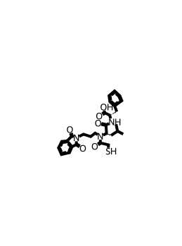 CC(C)C[C@@H](C(=O)N[C@@H](Cc1ccccc1)C(=O)O)N(CCCN1C(=O)c2ccccc2C1=O)C(=O)CS